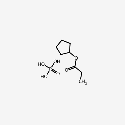 CCC(=O)OC1CCCC1.O=P(O)(O)O